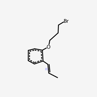 C/C=C/c1ccccc1OCCCBr